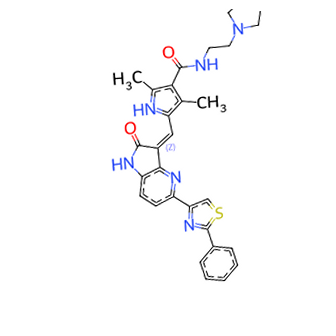 Cc1[nH]c(/C=C2\C(=O)Nc3ccc(-c4csc(-c5ccccc5)n4)nc32)c(C)c1C(=O)NCCN1CCCC1